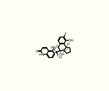 O=c1ccc2c(N[C@@H]3c4ccc(F)c(O)c4[C@H]4CCC[C@H]4[C@@]3(O)C(F)(F)F)cccc2[nH]1